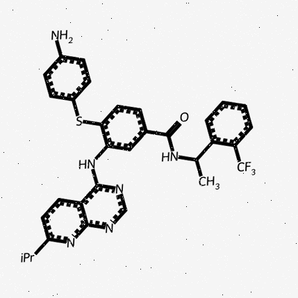 CC(C)c1ccc2c(Nc3cc(C(=O)NC(C)c4ccccc4C(F)(F)F)ccc3Sc3ccc(N)cc3)ncnc2n1